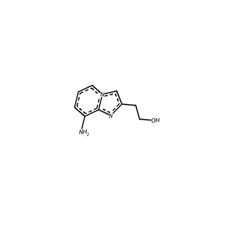 Nc1cccn2cc(CCO)nc12